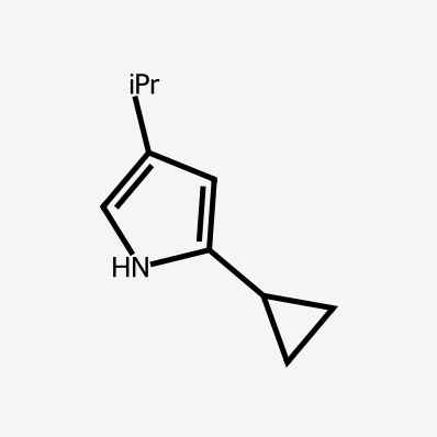 CC(C)c1c[nH]c(C2CC2)c1